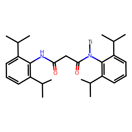 CC(C)c1cccc(C(C)C)c1NC(=O)CC(=O)[N]([Ti])c1c(C(C)C)cccc1C(C)C